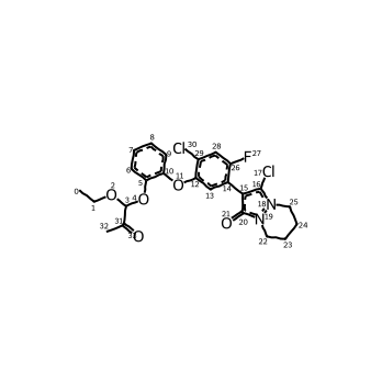 CCOC(Oc1ccccc1Oc1cc(-c2c(Cl)n3n(c2=O)CCCC3)c(F)cc1Cl)C(C)=O